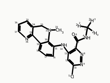 [2H]C([2H])([2H])NC(=O)c1nnc(Cl)cc1Nc1cccc2c1N(C)Cc1cccnc1-2